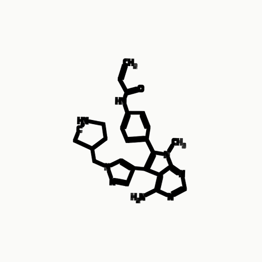 C=CC(=O)Nc1ccc(-c2c(-c3cnn(CC4CCNCC4)c3)c3c(N)ncnc3n2C)cc1